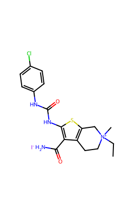 CC[N+]1(C)CCc2c(sc(NC(=O)Nc3ccc(Cl)cc3)c2C(N)=O)C1.[I-]